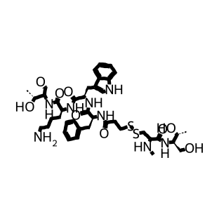 CNC(CSSCCC(=O)N[C@@H](Cc1ccccc1)C(=O)N[C@H](Cc1c[nH]c2ccccc12)C(=O)N[C@@H](CCCCN)C(=O)NC(C=O)[C@@H](C)O)C(=O)N[C@H](CO)[C@@H](C)O